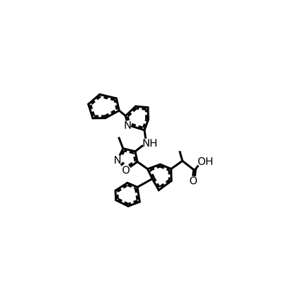 Cc1noc(-c2cc(C(C)C(=O)O)ccc2-c2ccccc2)c1Nc1cccc(-c2ccccc2)n1